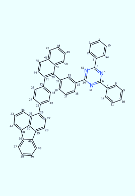 c1ccc(-c2nc(-c3ccccc3)nc(-c3cccc(-c4c(-c5ccc(-c6ccc7c8c(cccc68)-c6ccccc6-7)cc5)ccc5ccccc45)c3)n2)cc1